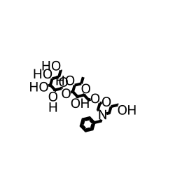 CC1OC(COC2CN(Cc3ccccc3)CC(CO)O2)C(O)C(OC2OC(CO)C(O)C(O)C2O)C1O